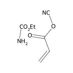 C=CC(=O)OC#N.CCOC(N)=O